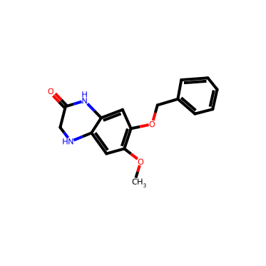 COc1cc2c(cc1OCc1ccccc1)NC(=O)CN2